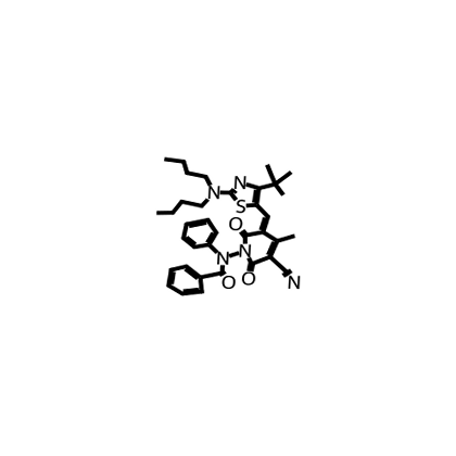 CCCCN(CCCC)c1nc(C(C)(C)C)c(/C=C2\C(=O)N(N(C(=O)c3ccccc3)c3ccccc3)C(=O)C(C#N)=C2C)s1